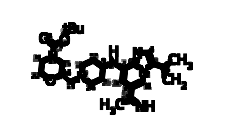 C=C(C)c1cnc2c(NC3CCN(C[C@@H]4CN(C(=O)OC(C)(C)C)CCO4)CC3)cc(C(C)=N)cn12